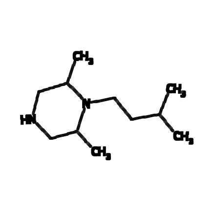 CC(C)CCN1C(C)CNCC1C